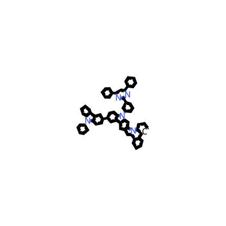 c1ccc(-c2cc(-c3ccccc3)nc(-c3cccc(-n4c5ccc(-c6ccc7c(c6)c6ccccc6n7-c6ccccc6)cc5c5cc6cc7c8ccccc8c8ccccc8n7c6cc54)c3)n2)cc1